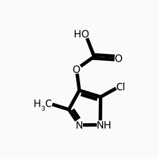 Cc1n[nH]c(Cl)c1OC(=O)O